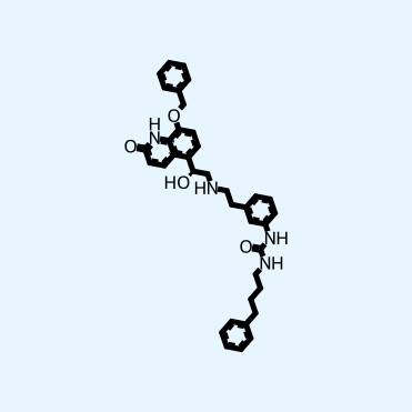 O=C(NCCCCc1ccccc1)Nc1cccc(CCNC[C@@H](O)c2ccc(OCc3ccccc3)c3[nH]c(=O)ccc23)c1